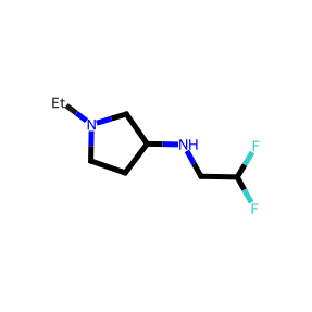 CCN1CCC(NCC(F)F)C1